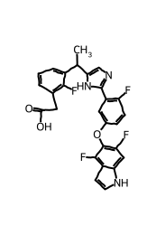 CC(c1cnc(-c2cc(Oc3c(F)cc4[nH]ccc4c3F)ccc2F)[nH]1)c1cccc(CC(=O)O)c1F